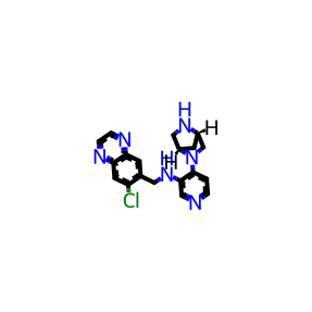 Clc1cc2nccnc2cc1CNc1cnccc1N1C[C@@H]2C[C@H]1CN2